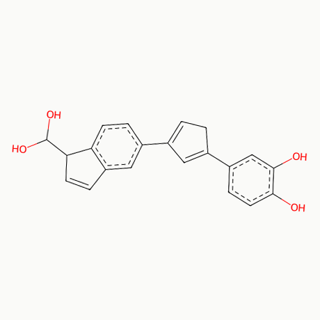 Oc1ccc(C2=CC(c3ccc4c(c3)C=CC4C(O)O)=CC2)cc1O